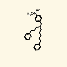 CC(=O)N(C)c1ccc(CN(CCCCCc2ccccc2)CCCc2ccccn2)cc1